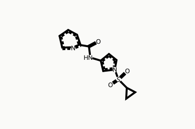 O=C(Nc1ccn(S(=O)(=O)C2CC2)c1)c1ccccn1